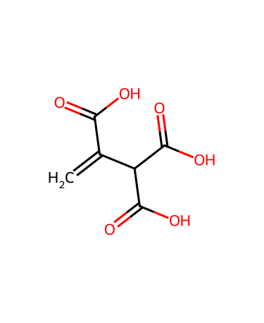 C=C(C(=O)O)C(C(=O)O)C(=O)O